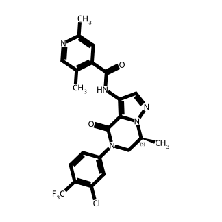 Cc1cc(C(=O)Nc2cnn3c2C(=O)N(c2ccc(C(F)(F)F)c(Cl)c2)C[C@@H]3C)c(C)cn1